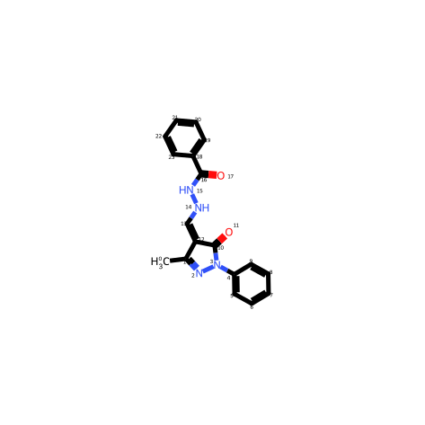 CC1=NN(c2ccccc2)C(=O)/C1=C\NNC(=O)c1ccccc1